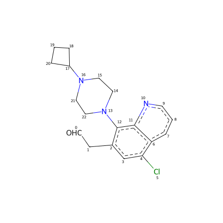 O=CCc1cc(Cl)c2cccnc2c1N1CCN(C2CCC2)CC1